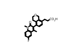 Cc1c(-c2ccc(CCC(=O)O)c3c2CCOC3)c(=O)n(C)c2ccc(F)cc12